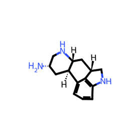 N[C@@H]1CN[C@@H]2C[C@@H]3CNc4cccc(c43)[C@H]2C1